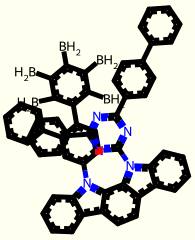 Bc1c(B)c(B)c(-c2ccc(-n3c4ccccc4c4ccc5c6ccccc6n(-c6nc(-c7ccccc7)nc(-c7ccc(-c8ccccc8)cc7)n6)c5c43)cc2-c2ccccc2)c(B)c1B